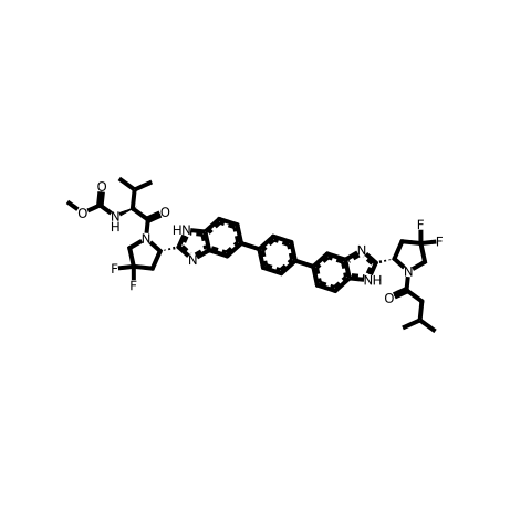 COC(=O)N[C@H](C(=O)N1CC(F)(F)C[C@H]1c1nc2cc(-c3ccc(-c4ccc5[nH]c([C@@H]6CC(F)(F)CN6C(=O)CC(C)C)nc5c4)cc3)ccc2[nH]1)C(C)C